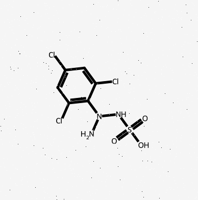 NN(NS(=O)(=O)O)c1c(Cl)cc(Cl)cc1Cl